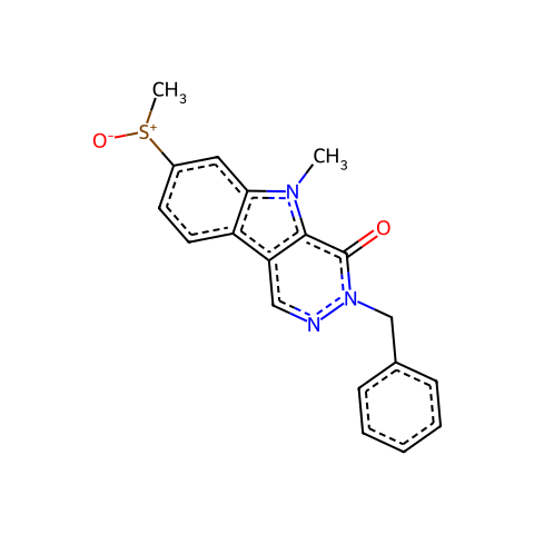 Cn1c2cc([S+](C)[O-])ccc2c2cnn(Cc3ccccc3)c(=O)c21